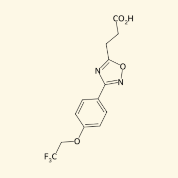 O=C(O)CCc1nc(-c2ccc(OCC(F)(F)F)cc2)no1